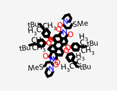 CSCCC(C(=O)N1CCCCC1)N1C(=O)c2cc(Oc3ccc(C(C)(C)CC(C)(C)C)cc3)c3c4c(Oc5ccc(C(C)(C)CC(C)(C)C)cc5)cc5c6c(cc(Oc7ccc(C(C)(C)CC(C)(C)C)cc7)c(c7c(Oc8ccc(C(C)(C)CC(C)(C)C)cc8)cc(c2c37)C1=O)c64)C(=O)N(C(CCSC)C(=O)N1CCCCC1)C5=O